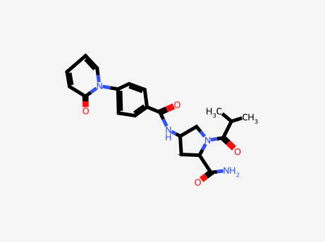 CC(C)C(=O)N1CC(NC(=O)c2ccc(-n3ccccc3=O)cc2)[CH]C1C(N)=O